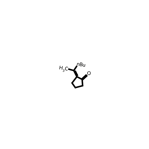 CCCCC(C)=C1CCCC1=O